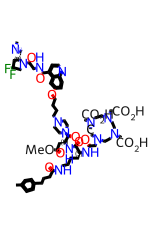 C/N=C/[C@H]1CC(F)(F)CN1C(=O)CNC(=O)c1ccnc2ccc(OCCCCN3CCN(C(=O)[C@H](CC(=O)OC)NC(=O)[C@H](CCCCNC(=O)CCCc4ccc(C)cc4)NC(=O)CN4CCN(CC(=O)O)CCN(CC(=O)O)CCN(CC(=O)O)CC4)CC3)cc12